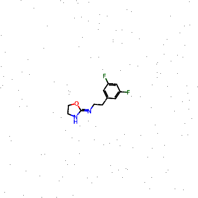 Fc1cc(F)cc(CCN=C2NCCO2)c1